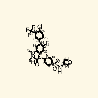 CNC(=O)N(c1ccc(S(=O)(=O)Nc2ccon2)cn1)c1cc(F)c(-c2ccc(Cl)c(C(F)(F)F)c2)cc1OC